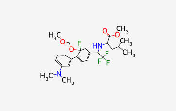 COCOC1(F)CC(C(NC(CC(C)C)C(=O)OC)C(F)(F)F)=CC=C1c1cccc(N(C)C)c1